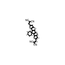 N#CC(C#N)=Cc1cc2sc3c(c2s1)C1(CCCCC1)c1c-3sc2cc(C=C(C#N)C#N)sc12